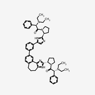 CCN(CC)[C@@H](C(=O)N1CCC[C@H]1c1ncc(-c2cccc(-c3ccc4c(c3)-c3nc([C@@H]5CCCN5C(=O)[C@@H](c5ccccc5)N(CC)CC)[nH]c3CCC4)c2)[nH]1)c1ccccc1